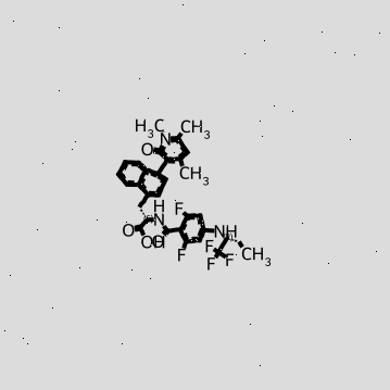 CC[C@@H](Nc1cc(F)c(C(=O)N[C@@H](Cc2ccc(-c3c(C)cc(C)n(C)c3=O)c3ccccc23)C(=O)O)c(F)c1)C(F)(F)F